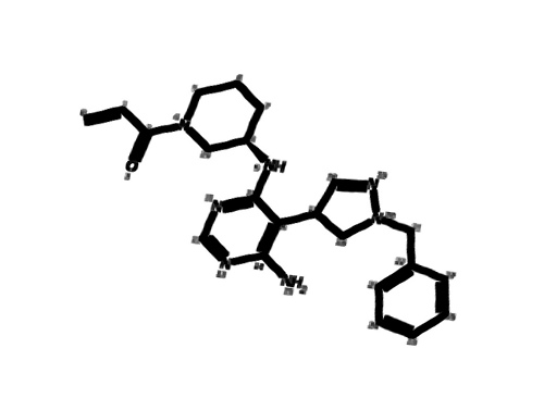 C=CC(=O)N1CCC[C@@H](Nc2ncnc(N)c2C2C=NN(Cc3ccccc3)C2)C1